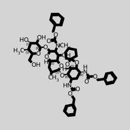 CC1C[C@@H]2OC(O[C@H]3OC(CO)[C@@H](C)[C@H](O)C3O)C(N(C)C(=O)OCc3ccccc3)C(O)C2O[C@@H]1O[C@@H]1C(NC(=O)OCc2ccccc2)C[C@@H](NC(=O)OCc2ccccc2)C2OC3(CCCCC3)O[C@H]21